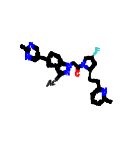 CC(=O)c1nn(CC(=O)N2C[C@H](F)C[C@H]2CCc2cccc(C)n2)c2ccc(-c3cnc(C)nc3)cc12